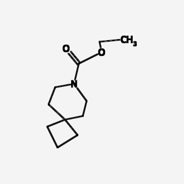 CCOC(=O)N1CCC2(CCC2)CC1